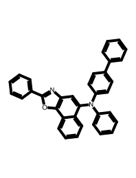 c1ccc(-c2ccc(N(c3ccccc3)c3cc4nc(-c5ccccc5)oc4c4ccccc34)cc2)cc1